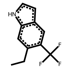 CCc1cc2[nH]ccc2cc1C(F)(F)F